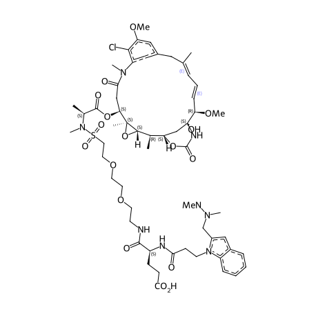 CNN(C)Cc1cc2ccccc2n1CCC(=O)N[C@@H](CCC(=O)O)C(=O)NCCOCCOCCS(=O)(=O)N(C)[C@@H](C)C(=O)O[C@H]1CC(=O)N(C)c2cc(cc(OC)c2Cl)C/C(C)=C/C=C/[C@@H](OC)[C@@]2(O)C[C@H](OC(=O)N2)[C@@H](C)[C@@H]2O[C@@]12C